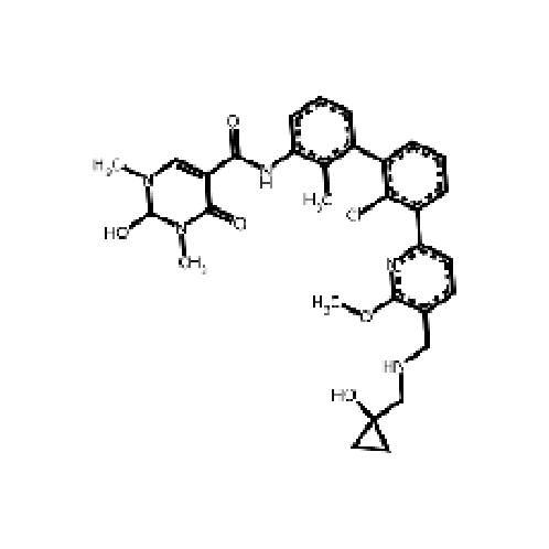 COc1nc(-c2cccc(-c3cccc(NC(=O)C4=CN(C)C(O)N(C)C4=O)c3C)c2Cl)ccc1CNCC1(O)CC1